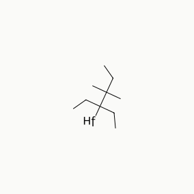 CCC(C)(C)[C]([Hf])(CC)CC